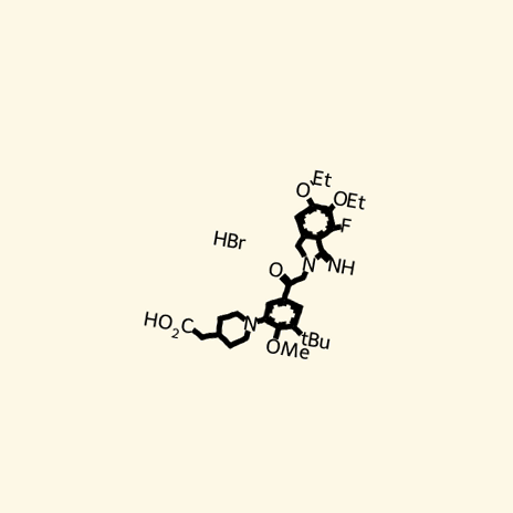 Br.CCOc1cc2c(c(F)c1OCC)C(=N)N(CC(=O)c1cc(N3CCC(CC(=O)O)CC3)c(OC)c(C(C)(C)C)c1)C2